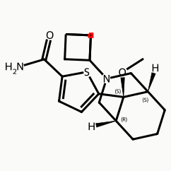 CO[C@]1(c2ccc(C(N)=O)s2)[C@@H]2CCC[C@H]1CN(C13CC(C1)C3)C2